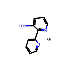 Nc1cccnc1-c1ccccn1.[Os]